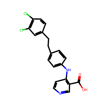 O=C(O)c1cnccc1Nc1ccc(CCc2ccc(Cl)c(Cl)c2)cc1